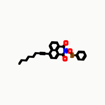 CCCCCCC#Cc1ccc2c3c(cccc13)C(=O)N(OSc1ccccc1)C2=O